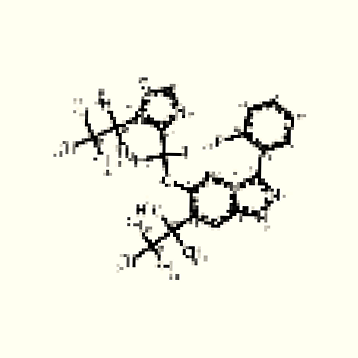 [2H]C([2H])(Oc1nn2c(-c3ccccc3F)nnc2cc1C(C)(C)C([2H])([2H])[2H])c1ncnn1C([2H])([2H])C([2H])([2H])[2H]